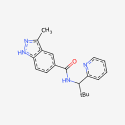 Cc1n[nH]c2ccc(C(=O)NC(c3ccccn3)C(C)(C)C)cc12